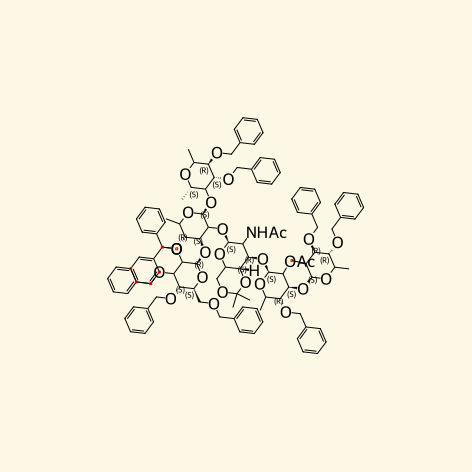 CC(=O)NC1[C@H](OC2[C@H](OC3[C@H](C)OC(C)[C@@H](OCc4ccccc4)[C@@H]3OCc3ccccc3)OC(C)[C@@H](OCc3ccccc3)[C@@H]2O[C@H]2O[C@@H](COCc3ccccc3)[C@H](OCc3ccccc3)C(OCc3ccccc3)C2OCc2ccccc2)OC2COC(C)(C)O[C@H]2[C@@H]1O[C@@H]1OC(C)[C@@H](OCc2ccccc2)[C@H](O[C@@H]2OC(C)[C@@H](OCc3ccccc3)[C@H](OCc3ccccc3)C2C)C1OC(C)=O